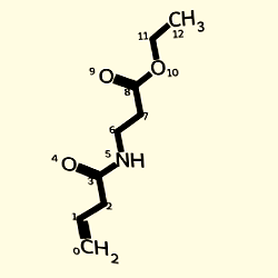 C=CCC(=O)NCCC(=O)OCC